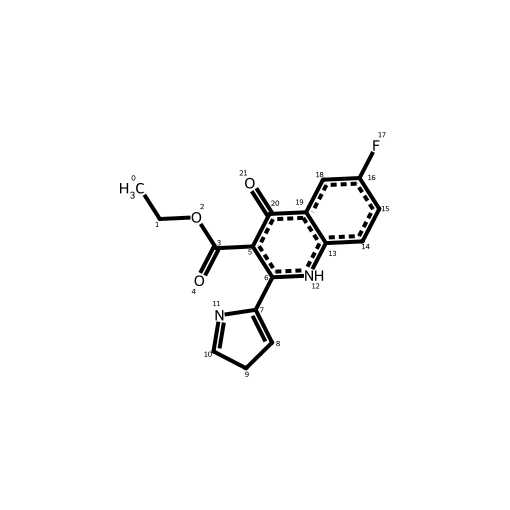 CCOC(=O)c1c(C2=CCC=N2)[nH]c2ccc(F)cc2c1=O